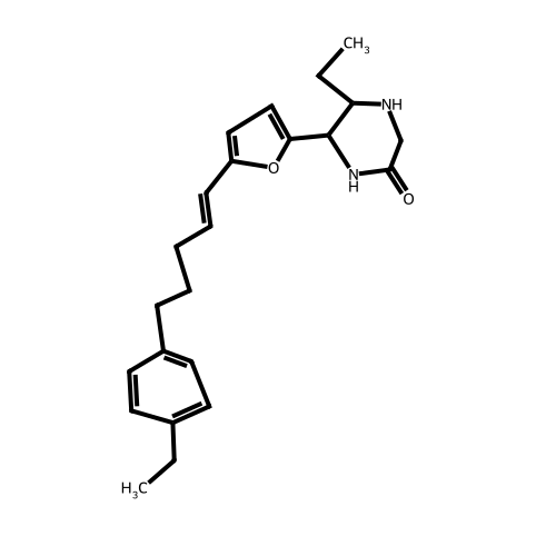 CCc1ccc(CCCC=Cc2ccc(C3NC(=O)CNC3CC)o2)cc1